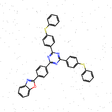 c1ccc(Sc2ccc(-c3nc(-c4ccc(Sc5ccccc5)cc4)nc(-c4ccc(-c5nc6ccccc6o5)cc4)n3)cc2)cc1